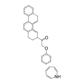 C1=CC=CNC=C1.O=C(COc1ccccc1)C1C=c2c(ccc3c2=CCc2ccccc2-3)CC1